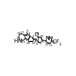 CN1c2cc(-n3ccc(-c4ccc(C(F)(F)F)nn4)cc3=O)ccc2C2CNCCCC21